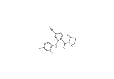 N#Cc1ccc(C(=O)N2OCCC2=O)c(Nc2ccc(I)cc2F)c1